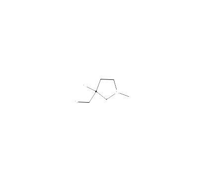 CN1CCC(N)(CN)C1